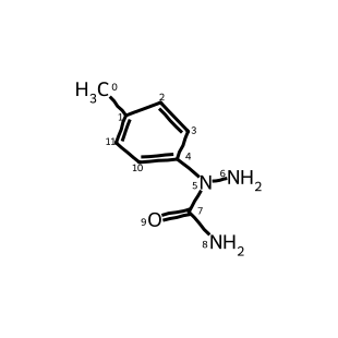 Cc1ccc(N(N)C(N)=O)cc1